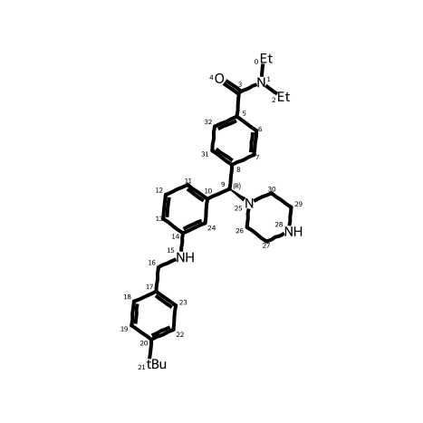 CCN(CC)C(=O)c1ccc([C@H](c2cccc(NCc3ccc(C(C)(C)C)cc3)c2)N2CCNCC2)cc1